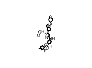 Cc1ccc(S(=O)(=O)Nc2ccc(Nc3cc(-c4ccc5c(ccn5CC5CCN(C)CC5)c4)ncn3)cc2)c(F)c1.O=CO